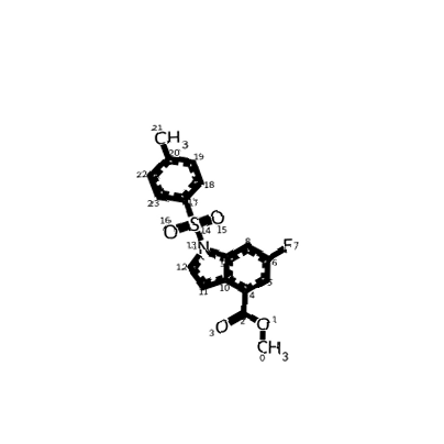 COC(=O)c1cc(F)cc2c1ccn2S(=O)(=O)c1ccc(C)cc1